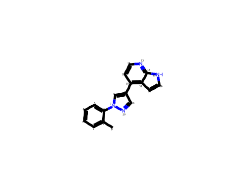 Cc1ccccc1-n1cc(-c2ccnc3[nH]ccc23)cn1